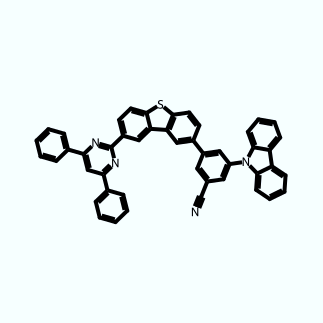 N#Cc1cc(-c2ccc3sc4ccc(-c5nc(-c6ccccc6)cc(-c6ccccc6)n5)cc4c3c2)cc(-n2c3ccccc3c3ccccc32)c1